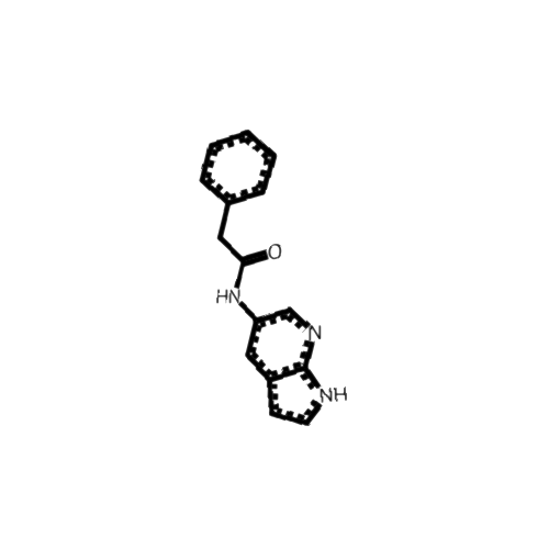 O=C(Cc1ccccc1)Nc1cnc2[nH]ccc2c1